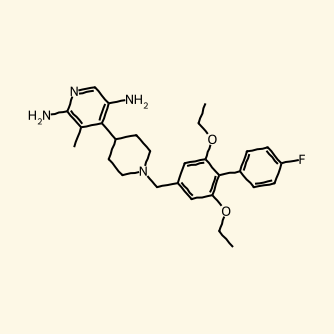 CCOc1cc(CN2CCC(c3c(N)cnc(N)c3C)CC2)cc(OCC)c1-c1ccc(F)cc1